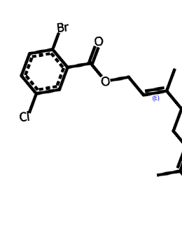 CC(C)=CCC/C(C)=C/COC(=O)c1cc(Cl)ccc1Br